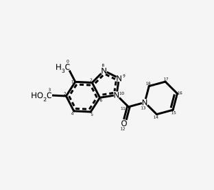 Cc1c(C(=O)O)ccc2c1nnn2C(=O)N1CC=CCC1